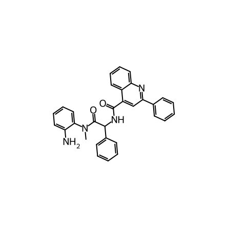 CN(C(=O)C(NC(=O)c1cc(-c2ccccc2)nc2ccccc12)c1ccccc1)c1ccccc1N